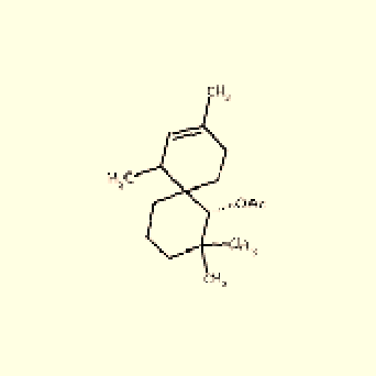 CC(=O)O[C@@H]1C(C)(C)CCCC12CCC(C)=CC2C